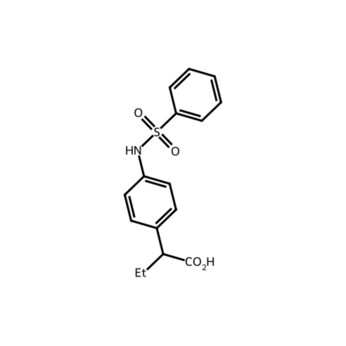 CCC(C(=O)O)c1ccc(NS(=O)(=O)c2ccccc2)cc1